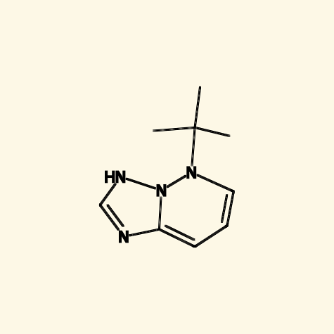 CC(C)(C)N1C=CC=C2N=CNN21